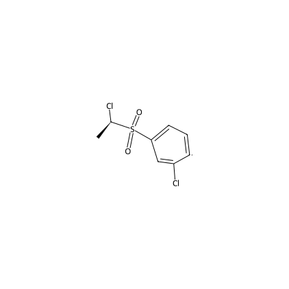 C[C@@H](Cl)S(=O)(=O)c1cc[c]c(Cl)c1